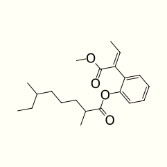 CC=C(C(=O)OC)c1ccccc1OC(=O)C(C)CCCC(C)CC